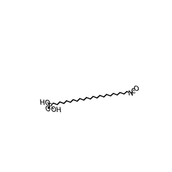 O=C=NCCCCCCCCCCCCCCCCCCCCCCCP(=O)(O)O